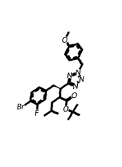 COc1ccc(Cn2nnc([C@H](Cc3ccc(Br)c(F)c3)C(CC(C)C)C(=O)OC(C)(C)C)n2)cc1